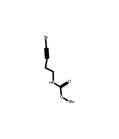 CC(C)(C)OC(=O)NCCC#CBr